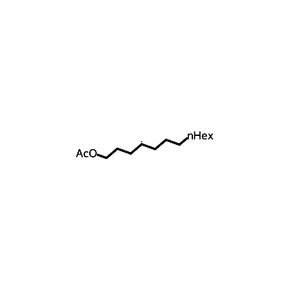 CCCCCCCCC[CH]CCCOC(C)=O